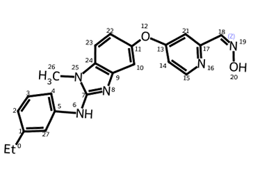 CCc1cccc(Nc2nc3cc(Oc4ccnc(/C=N\O)c4)ccc3n2C)c1